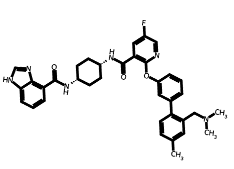 Cc1ccc(-c2cccc(Oc3ncc(F)cc3C(=O)N[C@H]3CC[C@@H](NC(=O)c4cccc5[nH]cnc45)CC3)c2)c(CN(C)C)c1